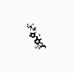 CCOCc1c(S(C)(=O)=O)ccc(C(=O)c2cnn(C)c2OC(C)OC(=O)OC)c1C